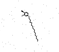 C#Cc1ccc(OCCCCCCCCCCCCCCC)cc1F